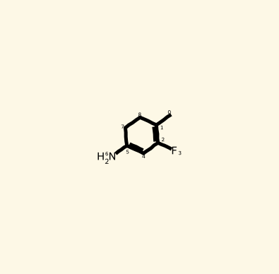 CC1=C(F)C=C(N)CC1